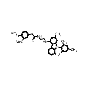 CCCOc1ccc(CC(=O)NCCNc2cc(C)nc3c2c2ccccc2n3-c2c(C)cc(C)cc2C)cc1OC